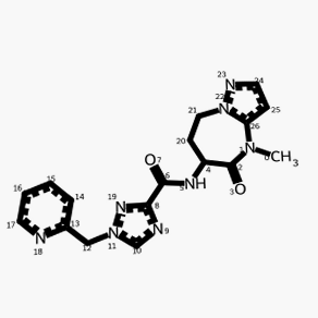 CN1C(=O)C(NC(=O)c2ncn(Cc3ccccn3)n2)CCn2nccc21